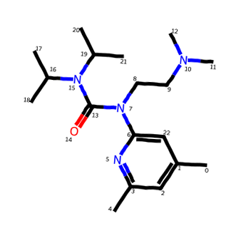 Cc1cc(C)nc(N(CCN(C)C)C(=O)N(C(C)C)C(C)C)c1